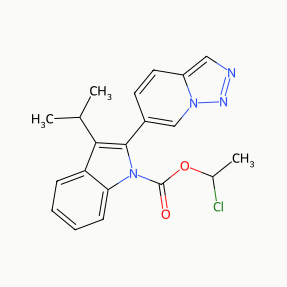 CC(Cl)OC(=O)n1c(-c2ccc3cnnn3c2)c(C(C)C)c2ccccc21